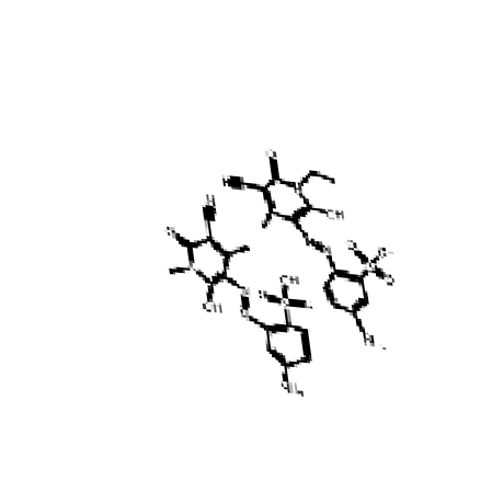 CCn1c(O)c(N=Nc2ccc(N)cc2S(=O)(=O)O)c(C)c(C#N)c1=O.Cc1c(N=Nc2cc(N)ccc2S(=O)(=O)O)c(O)n(C)c(=O)c1C#N